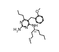 CCCC[C@@H](CCSC)Nc1nc(N)nc(CCC)c1Cc1ccccc1OC